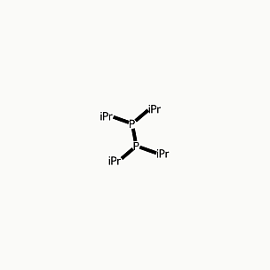 CC(C)P(C(C)C)P(C(C)C)C(C)C